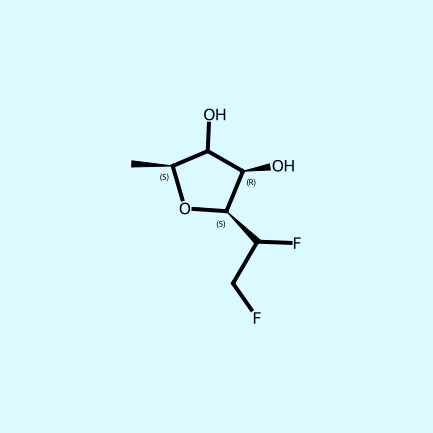 C[C@@H]1O[C@H](C(F)CF)[C@H](O)C1O